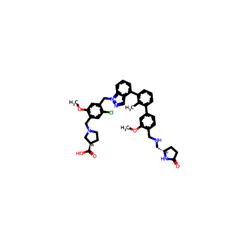 COc1cc(-c2cccc(-c3cccc4c3cnn4Cc3cc(OC)c(CN4CC[C@@H](C(=O)O)C4)cc3Cl)c2C)ccc1CNC[C@@H]1CCC(=O)N1